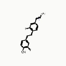 CCC/C=C/c1ccc(CCc2ccc(C#N)c(F)c2)c(F)c1